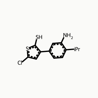 CC(C)c1ccc(-c2cc(Cl)sc2S)cc1N